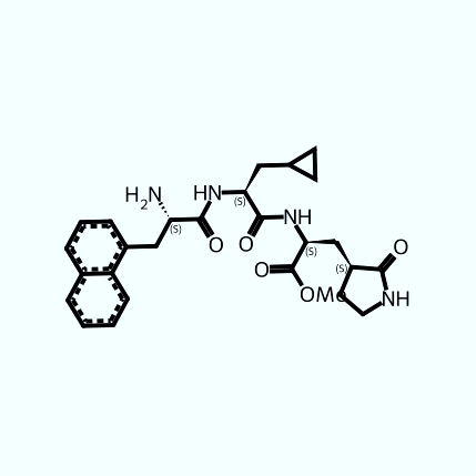 COC(=O)[C@H](C[C@@H]1CCNC1=O)NC(=O)[C@H](CC1CC1)NC(=O)[C@@H](N)Cc1cccc2ccccc12